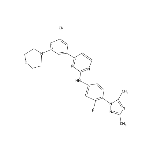 Cc1nc(C)n(-c2ccc(Nc3nccc(-c4cc(C#N)cc(N5CCOCC5)c4)n3)cc2F)n1